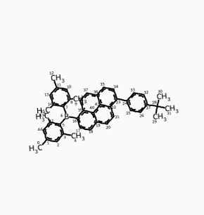 Cc1cc(C)c(B(c2c(C)cc(C)cc2C)c2ccc3ccc4c(-c5ccc(C(C)(C)C)cc5)ccc5ccc2c3c54)c(C)c1